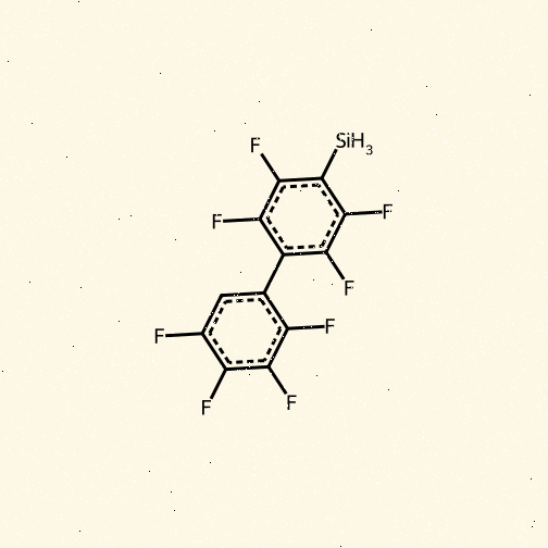 Fc1cc(-c2c(F)c(F)c([SiH3])c(F)c2F)c(F)c(F)c1F